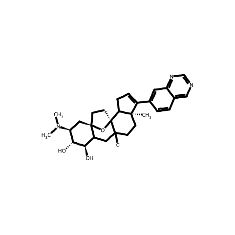 CN(C)[C@H]1C[C@@]23CC[C@]4(O2)C2CC=C(c5ccc6cncnc6c5)[C@@]2(C)CCC4(Cl)CC3[C@@H](O)[C@@H]1O